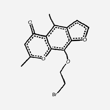 Cc1cc(=O)c2c(C)c3ccoc3c(OCCBr)c2o1